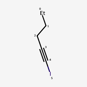 [CH2]CCCC#CI